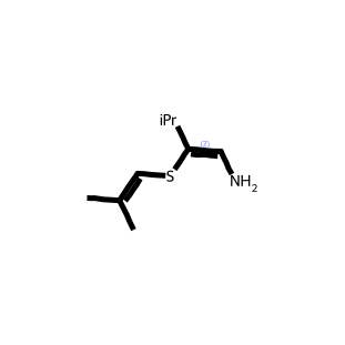 CC(C)=CS/C(=C\N)C(C)C